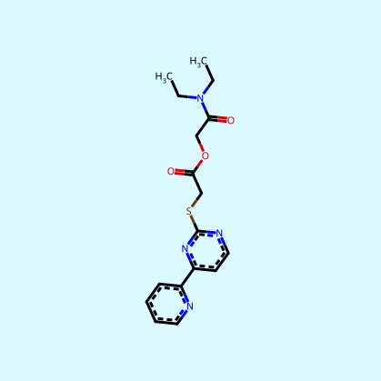 CCN(CC)C(=O)COC(=O)CSc1nccc(-c2ccccn2)n1